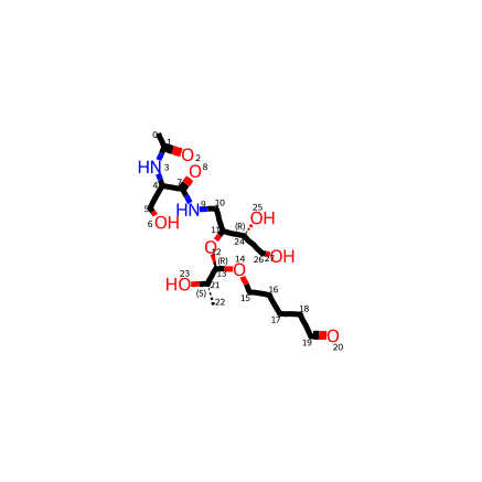 CC(=O)NC(CO)C(=O)NCC(O[C@@H](OCCCCC=O)[C@H](C)O)[C@H](O)CO